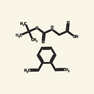 C=Cc1ccccc1C=C.CC(C)(C)OC(=O)NCC(=O)O